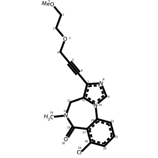 COCCOCC#Cc1ncn2c1CN(C)C(=O)c1c(Cl)cccc1-2